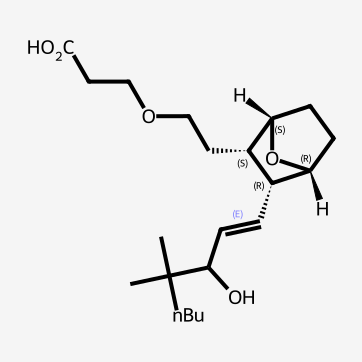 CCCCC(C)(C)C(O)/C=C/[C@@H]1[C@H](CCOCCC(=O)O)[C@@H]2CC[C@H]1O2